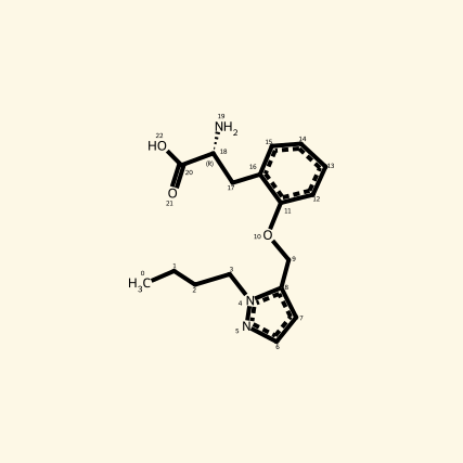 CCCCn1nccc1COc1ccccc1C[C@@H](N)C(=O)O